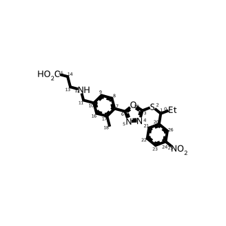 CCC(Sc1nnc(-c2ccc(CNCCC(=O)O)cc2C)o1)c1cccc([N+](=O)[O-])c1